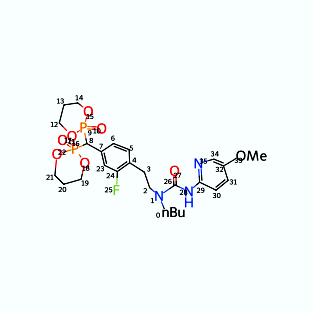 CCCCN(CCc1ccc(C(P2(=O)OCCCO2)P2(=O)OCCCO2)cc1F)C(=O)Nc1ccc(OC)cn1